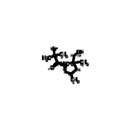 CC(COC(=O)C(C)(C)Br)CC(C)(C)CO